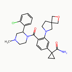 CN1CCN(C(=O)c2ccc(C3(C(N)=O)CC3)cc2N2CCC3(COC3)C2)C(c2ccccc2Cl)C1